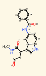 CNC(=O)C(CC=O)C1=CNC2C=CC(NC(=O)c3ccccc3)=CC12